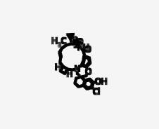 C[C@H]1C/C=C/C[C@H]2CC[C@H]2CN2C[C@@]3(CCCc4cc(Cl)c(O)cc43)COc3ccc(cc32)C(=O)NS(=O)(=O)[C@@H]1C1CC1